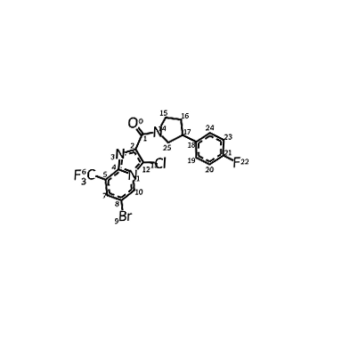 O=C(c1nc2c(C(F)(F)F)cc(Br)cn2c1Cl)N1CCC(c2ccc(F)cc2)C1